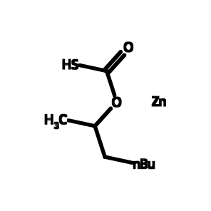 CCCCCC(C)OC(=O)S.[Zn]